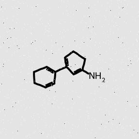 NC1=CC(C2=CCCC=C2)=CCC1